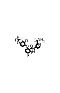 COc1c(Oc2ccc(F)c(F)c2C(=O)Nc2ccnc(C(N)=O)c2)ccc(OC(F)(F)F)c1F